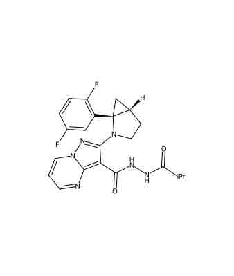 CC(C)C(=O)NNC(=O)c1c(N2CC[C@H]3C[C@]32c2cc(F)ccc2F)nn2cccnc12